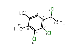 Cc1cc(C([SiH3])Cl)c(Cl)c(Cl)c1C